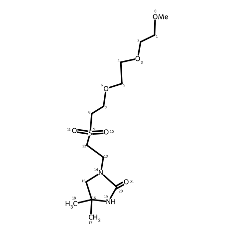 COCCOCCOCCS(=O)(=O)CCN1CC(C)(C)NC1=O